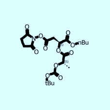 CCCCOC(=O)[C@H](CC(=O)ON1C(=O)CCC1=O)OC(=O)[C@H](C)OC(=O)OC(C)(C)C